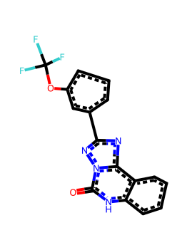 O=c1[nH]c2ccccc2c2nc(-c3cccc(OC(F)(F)F)c3)nn12